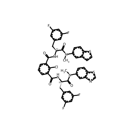 CN(C(=O)[C@H](Cc1cc(F)cc(F)c1)NC(=O)c1cccc(C(=O)N[C@@H](Cc2cc(F)cc(F)c2)C(=O)N(C)c2ccc3scnc3c2)c1Cl)c1ccc2sccc2c1